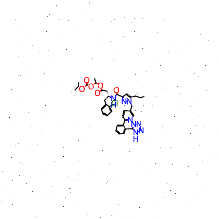 CCCc1cc(C(=O)N[C@@H](CC(=O)OC(C)OC(=O)OC(C)C)Cc2ccccc2Cl)nn1Cc1ccc(-c2ccccc2-c2nnn[nH]2)nc1